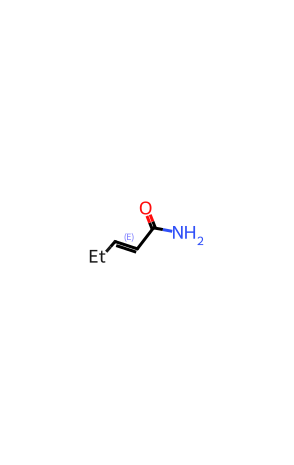 [CH2]C/C=C/C(N)=O